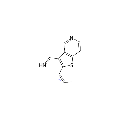 N=Cc1c(/C=C\I)sc2ccncc12